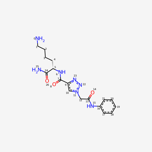 NCCCC[C@H](NC(=O)c1cn(CC(=O)Nc2ccccc2)nn1)C(N)=O